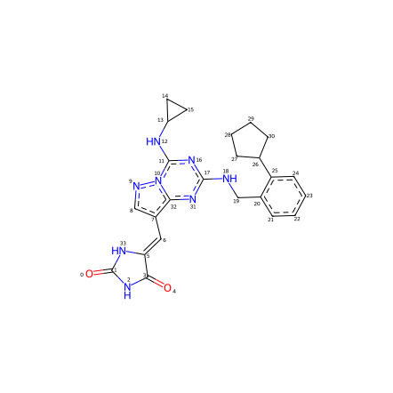 O=C1NC(=O)/C(=C/c2cnn3c(NC4CC4)nc(NCc4ccccc4C4CCCC4)nc23)N1